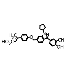 C[C@@H](CC(=O)O)c1ccc(OCc2ccc3c(-c4ccc(O)c(C#N)c4)nn(C4CCCC4)c3c2)cc1